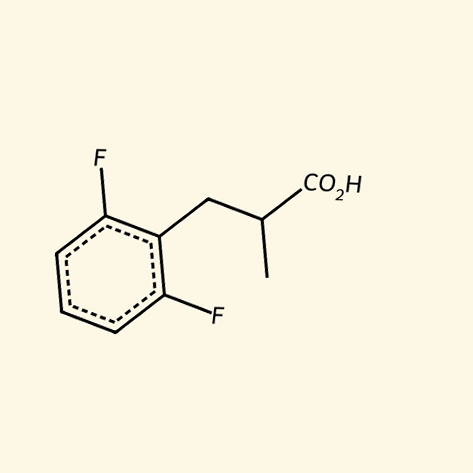 CC(Cc1c(F)cccc1F)C(=O)O